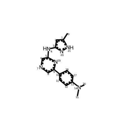 Cc1cc(Nc2cncc(-c3ccc(N(C)C)cc3)n2)n[nH]1